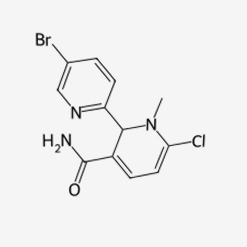 CN1C(Cl)=CC=C(C(N)=O)C1c1ccc(Br)cn1